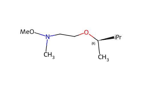 CON(C)CCO[C@H](C)C(C)C